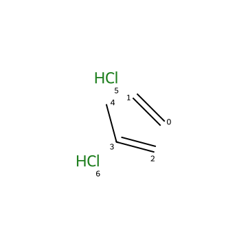 C=C.C=CC.Cl.Cl